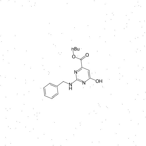 CCCCOC(=O)c1cc(O)nc(NCc2ccccc2)n1